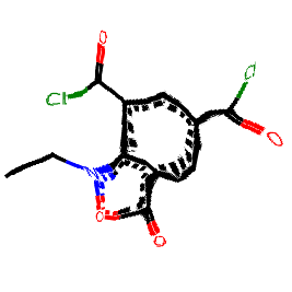 CCn1oc(=O)c2cc(C(=O)Cl)cc(C(=O)Cl)c21